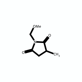 COCN1C(=O)CC(C)C1=O